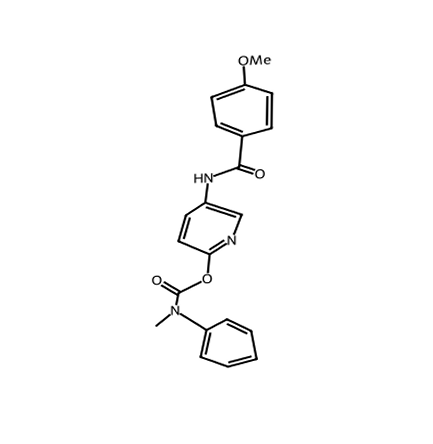 COc1ccc(C(=O)Nc2ccc(OC(=O)N(C)c3ccccc3)nc2)cc1